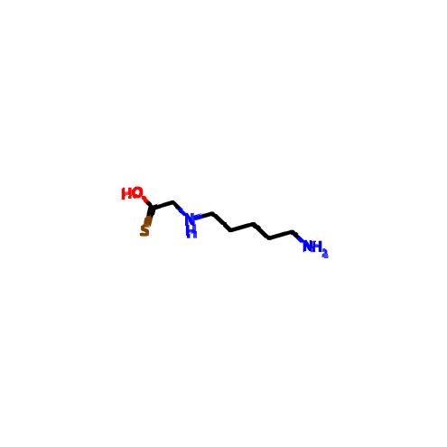 NCCCCCNCC(O)=S